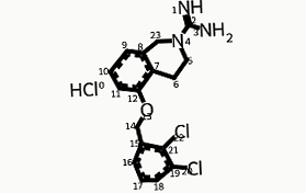 Cl.N=C(N)N1CCc2c(cccc2OCc2cccc(Cl)c2Cl)C1